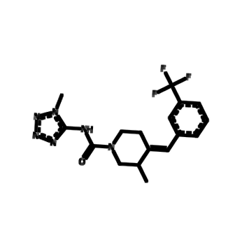 CC1CN(C(=O)Nc2nnnn2C)CCC1=Cc1cccc(C(F)(F)F)c1